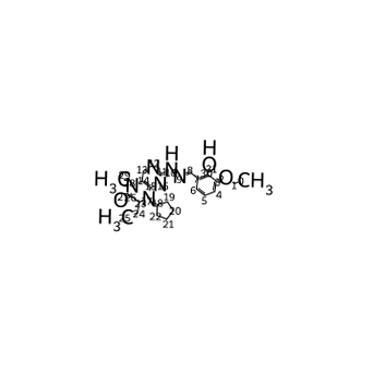 CCOc1cccc(C=NNc2ncc3c(n2)N(C2CCCC2)C(CC)C(=O)N3C)c1O